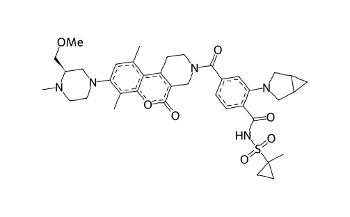 COC[C@H]1CN(c2cc(C)c3c4c(c(=O)oc3c2C)CN(C(=O)c2ccc(C(=O)NS(=O)(=O)C3(C)CC3)c(N3CC5CC5C3)c2)CC4)CCN1C